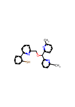 Cc1cccc(C(OCc2cccc(-c3ccccc3S)n2)c2cccc(C)n2)n1